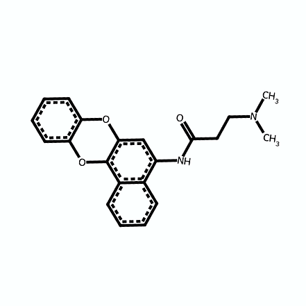 CN(C)CCC(=O)Nc1cc2c(c3ccccc13)Oc1ccccc1O2